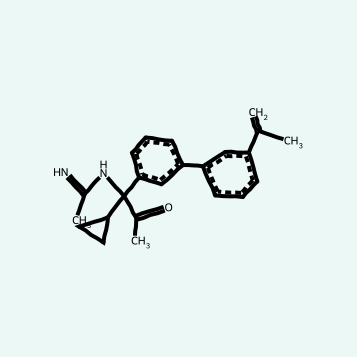 C=C(C)c1cccc(-c2cccc(C(NC(C)=N)(C(C)=O)C3CC3)c2)c1